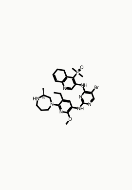 CCc1cc(Nc2ncc(Br)c(Nc3cnc4c(c3P(C)(C)=O)CCC=C4)n2)c(OC)nc1N1CCCN[C@@H](C)C1